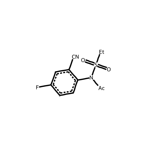 CCS(=O)(=O)N(C(C)=O)c1c[c]c(F)cc1C#N